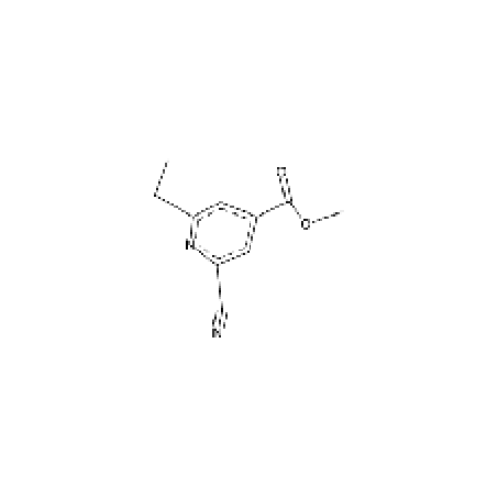 CCc1cc(C(=O)OC)cc(C#N)n1